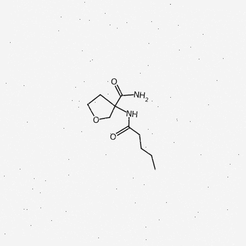 CCCCC(=O)NC1(C(N)=O)CCOC1